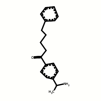 C[C](N)c1ccc(C(=O)CCCCc2ccccc2)cc1